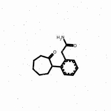 NC(=O)Cc1ccccc1C1CCCCCC1=O